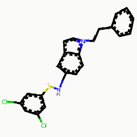 Clc1cc(Cl)cc(SNc2ccc3c(ccn3CCc3ccccc3)c2)c1